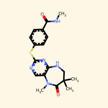 CNC(=O)c1ccc(Sc2ncc3c(n2)NCC(C)(C)C(=O)N3C)cc1